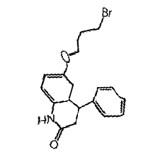 O=C1CC(c2ccccc2)C2CC(OCCCBr)=CC=C2N1